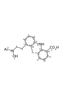 CC(=O)N(O)CCc1cccc(Nc2ccccc2C(=O)O)c1C